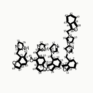 C1=NCCN1Cc1cccc2cocc12.C1=NCCN1Cc1cccc2cocc12.C1=NCCN1Cc1occ2ccccc12.COc1c(CC2=NCCN2)ccc2occc12.Cc1ccc2ccoc2c1CC1=NCCN1